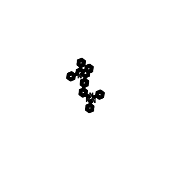 C1=CC(c2cc(-c3ccccc3)c3c(n2)c(-c2ccc(-c4cccc(-c5nc(-c6ccccc6)nc(-c6ccccc6)n5)c4)cc2)cc2ccccc23)=CCC1